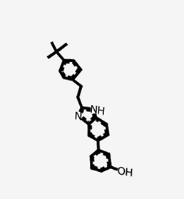 CC(C)(C)c1ccc(CCc2nc3cc(-c4cccc(O)c4)ccc3[nH]2)cc1